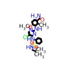 COc1ccc(C(N)=O)c(C)c1Nc1ncc(Cl)c(Nc2ccccc2S(=O)(=O)NCC(C)C)n1